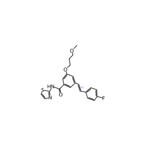 COCCCOc1cc(/C=C/c2ccc(F)cc2)cc(C(=O)Nc2nccs2)c1